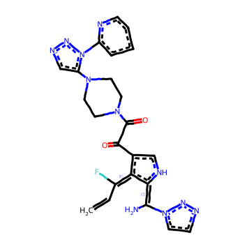 C=C/C(F)=c1/c(C(=O)C(=O)N2CCN(c3cnnn3-c3ccccn3)CC2)c[nH]/c1=C(/N)n1ccnn1